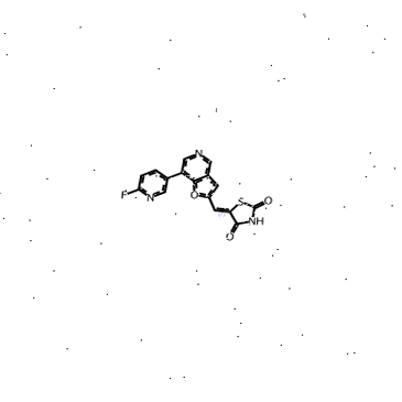 O=C1NC(=O)/C(=C/c2cc3cncc(-c4ccc(F)nc4)c3o2)S1